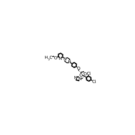 CCOc1cccc(N2CCN(c3ccc(OC[C@@H]4CO[C@@](Cn5ccnc5)(c5ccc(Cl)cc5Cl)O4)cc3)CC2)n1